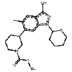 Cc1cc2c(O)nn(C3CCCCO3)c2cc1C1CCCN(C(=O)OC(C)(C)C)C1